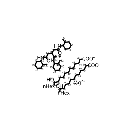 CC1CCCCC1NC(=O)CC(CC(=O)NC1CCCCC1C)C(=O)NC1CCCCC1C.CCCCCCC(O)CCCCCCCCCCC(=O)[O-].CCCCCCC(O)CCCCCCCCCCC(=O)[O-].[Mg+2]